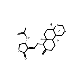 C=C1CC[C@@H]2[C@]3(C)COCO[C@@H]3CC[C@@]2(C)[C@@H]1C/C=C1/C(=O)OC[C@@H]1NC(C)=O